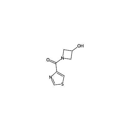 O=C(c1cscn1)N1CC(O)C1